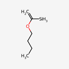 C=C([SiH3])OCCCC